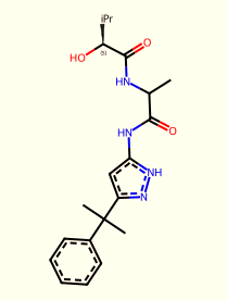 CC(NC(=O)[C@@H](O)C(C)C)C(=O)Nc1cc(C(C)(C)c2ccccc2)n[nH]1